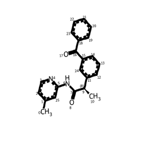 Cc1ccnc(NC(=O)[C@H](C)c2cccc(C(=O)c3ccccc3)c2)c1